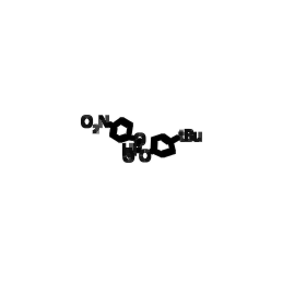 CC(C)(C)c1ccc(O[PH](=O)Oc2ccc([N+](=O)[O-])cc2)cc1